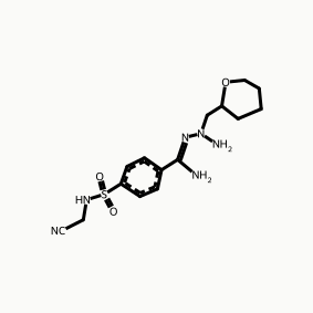 N#CCNS(=O)(=O)c1ccc(/C(N)=N/N(N)CC2CCCCO2)cc1